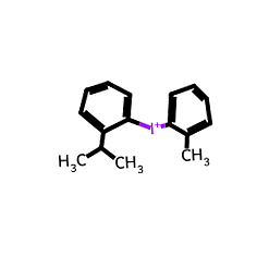 Cc1ccccc1[I+]c1ccccc1C(C)C